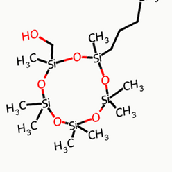 CCCC[Si]1(C)O[Si](C)(C)O[Si](C)(C)O[Si](C)(C)O[Si](C)(CO)O1